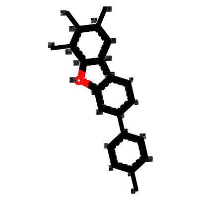 Cc1ccc(-c2ccc3c(c2)oc2c(C)c(C)c(C)cc23)cc1